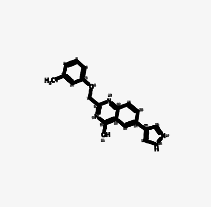 Cc1cccc(OCc2nc(O)c3cc(-c4cn[nH]c4)ccc3n2)c1